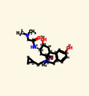 CN(C)CC(=O)N[C@H]1C[C@@]2(O)[C@H]3Cc4ccc(O)cc4C2(CCN3CC2CC2)C[C@@H]1O